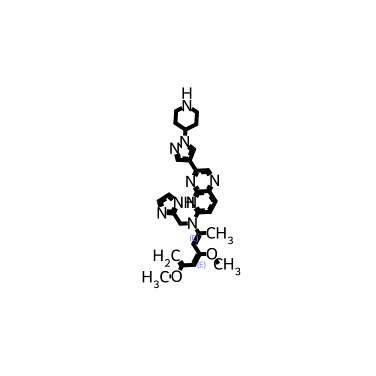 C=C(/C=C(\C=C(/C)N(Cc1ncc[nH]1)c1ccc2ncc(-c3cnn(C4CCNCC4)c3)nc2n1)OC)OC